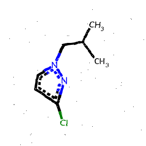 CC(C)Cn1ccc(Cl)n1